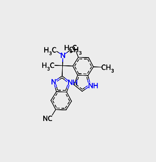 Cc1cc(C)c2[nH]ccc2c1C(C)(c1nc2cc(C#N)ccc2[nH]1)N(C)C